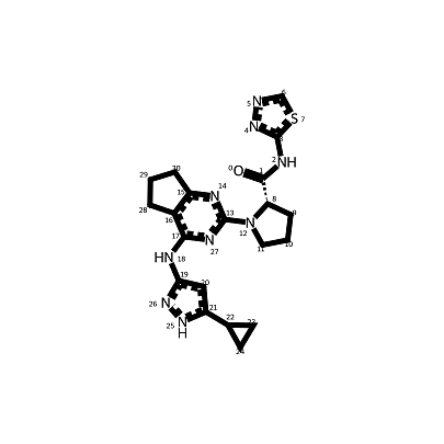 O=C(Nc1nncs1)[C@@H]1CCCN1c1nc2c(c(Nc3cc(C4CC4)[nH]n3)n1)CCC2